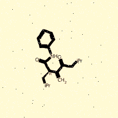 C=C(C(=O)CC(C)C)[C@@H](CC(C)C)C(=O)Nc1ccccc1